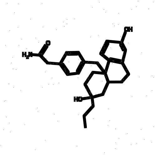 CCCC1(O)CCC2(Cc3ccc(CC(N)=O)cc3)c3ccc(O)cc3CCC2C1